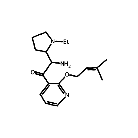 CCN1CCCC1C(N)C(=O)c1cccnc1OCC=C(C)C